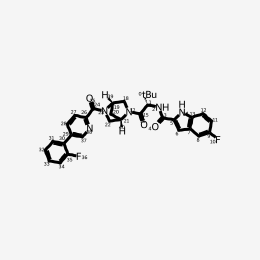 CC(C)(C)[C@H](NC(=O)c1cc2cc(F)ccc2[nH]1)C(=O)N1C[C@@H]2C[C@H]1CN2C(=O)c1ccc(-c2ccccc2F)cn1